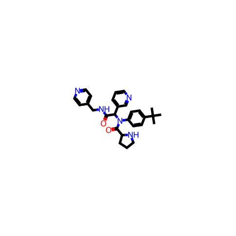 CC(C)(C)c1ccc(N(C(=O)C2CCCN2)C(C(=O)NCc2ccncc2)c2cccnc2)cc1